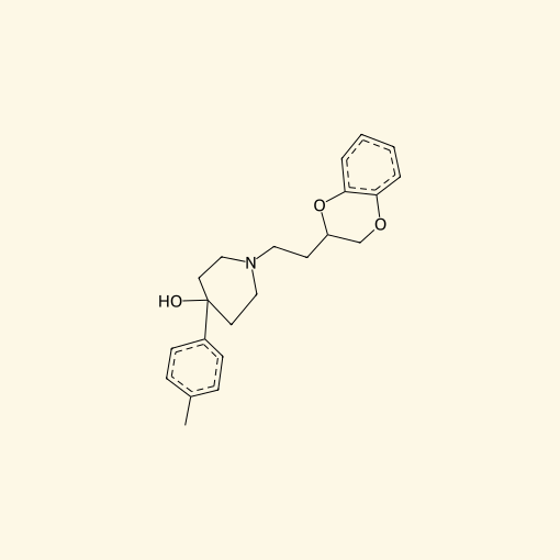 Cc1ccc(C2(O)CCN(CCC3COc4ccccc4O3)CC2)cc1